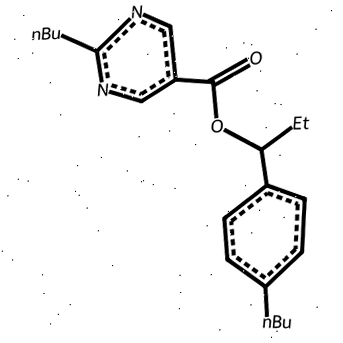 CCCCc1ccc(C(CC)OC(=O)c2cnc(CCCC)nc2)cc1